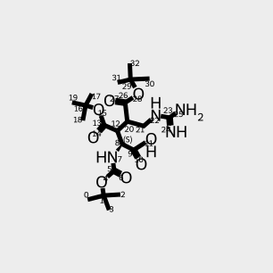 CC(C)(C)OC(=O)N[C@H](C(=O)O)C(C(=O)OC(C)(C)C)C(CNC(=N)N)C(=O)OC(C)(C)C